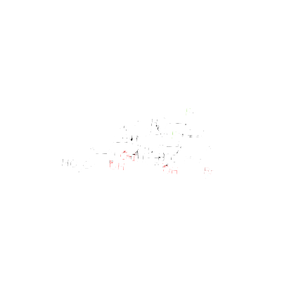 C[C@]12C=C(Br)CC=C1C(F)C[C@H]1[C@@H]3CC[C@](O)(CC(O)CC(=O)O)[C@@]3(C)CC(O)[C@@]12F